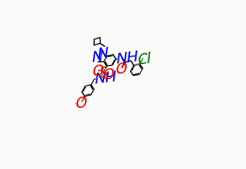 COc1ccc(CNS(=O)(=O)c2cc(NC(=O)Cc3ccccc3Cl)cc3c2cnn3CC2CCC2)cc1